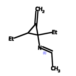 C=C1C(CC)C1(CC)/N=C/C